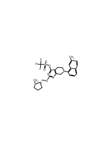 Cc1ccc2cccc(N3CCc4c(nc(OC[C@@H]5CCCN5C)nc4OS(=O)(=O)C(F)(F)F)C3)c2c1